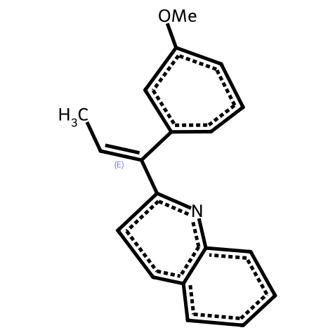 C/C=C(\c1cccc(OC)c1)c1ccc2ccccc2n1